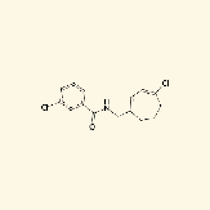 O=C(NCC1=CC=C(Cl)CCC1)c1cccc(Cl)c1